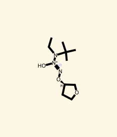 CCN(/[N+](O)=N/O[C@@H]1CCOC1)C(C)(C)C